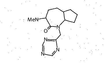 CNC1CCC2CCCC2N(Cc2ncncn2)C1=O